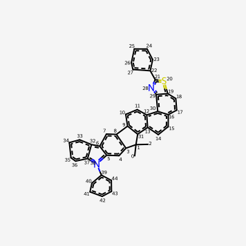 CC1(C)c2cc3c(cc2-c2ccc4c(ccc5ccc6sc(-c7ccccc7)nc6c54)c21)c1ccccc1n3-c1ccccc1